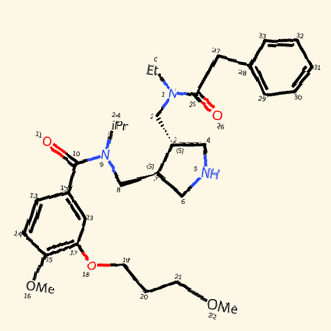 CCN(C[C@@H]1CNC[C@H]1CN(C(=O)c1ccc(OC)c(OCCCOC)c1)C(C)C)C(=O)Cc1ccccc1